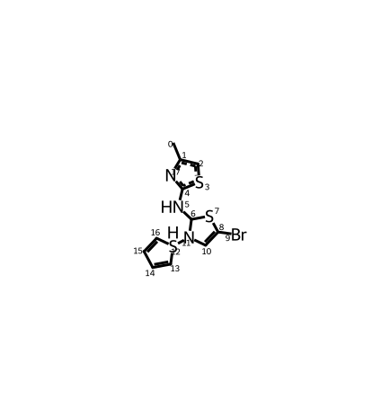 Cc1csc(NC2SC(Br)=CN2[SH]2C=CC=C2)n1